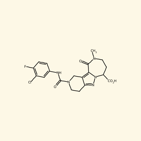 CN1CCC(C(=O)O)n2nc3c(c2C1=O)CN(C(=O)Nc1ccc(F)c(Cl)c1)CC3